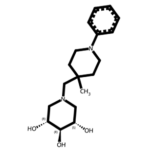 CC1(CN2C[C@@H](O)[C@H](O)[C@@H](O)C2)CCN(c2ccccc2)CC1